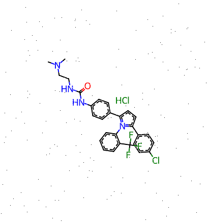 CN(C)CCNC(=O)Nc1ccc(-c2ccc(-c3ccc(Cl)cc3)n2-c2ccccc2C(F)(F)F)cc1.Cl